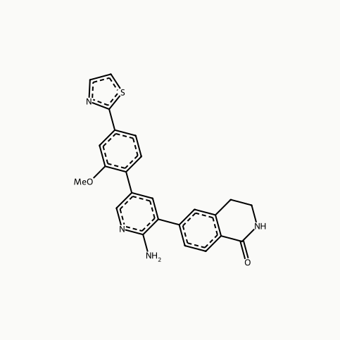 COc1cc(-c2nccs2)ccc1-c1cnc(N)c(-c2ccc3c(c2)CCNC3=O)c1